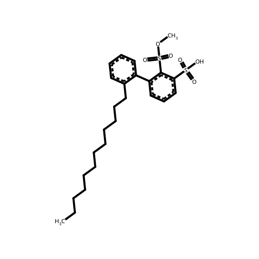 CCCCCCCCCCCCc1ccccc1-c1cccc(S(=O)(=O)O)c1S(=O)(=O)OC